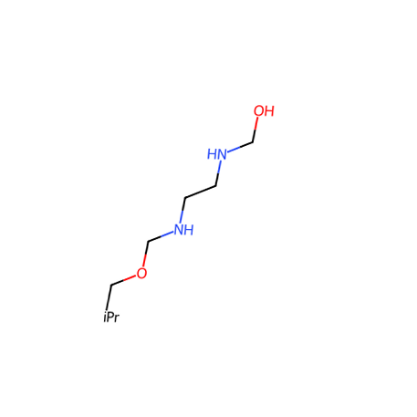 CC(C)COCNCCNCO